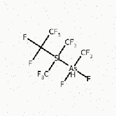 FC(F)(F)C(F)(F)[Si](C(F)(F)F)(C(F)(F)F)[AsH](F)(F)C(F)(F)F